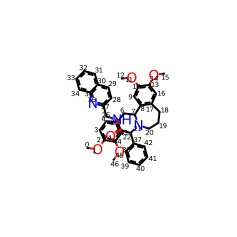 COc1ccc(CC2c3cc(OC)c(OC)cc3CCCN2C(C(=O)NCc2ccc3ccccc3n2)c2ccccc2)cc1OC